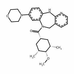 CO[C@@H]1[C@H](C)C[C@H](C(=O)N2Cc3cccnc3Nc3ccc(N4CCOCC4)cc32)C[C@@H]1C